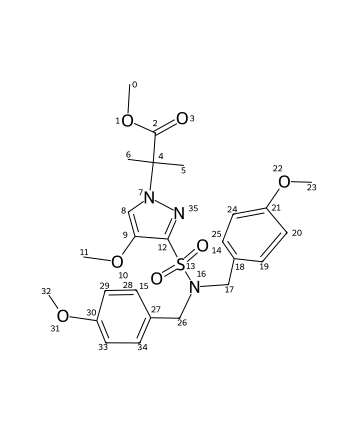 COC(=O)C(C)(C)n1cc(OC)c(S(=O)(=O)N(Cc2ccc(OC)cc2)Cc2ccc(OC)cc2)n1